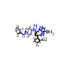 Bc1cnn2c(NC3CCN(CC(/C=C\C)=C/C)CC3)cc(-c3ccccc3Cl)nc12